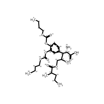 CCCCOC(=O)Oc1ccc(C(C(C)COC(=O)C(C)CCC)[C@H](N)C(=O)O)cc1OC(=O)OCCCC